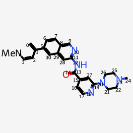 C=C(/C=C\NC)c1ccc2cnc(NC(=O)c3ccnc(N4CCN(C)CC4)c3)cc2c1